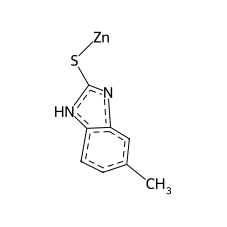 Cc1ccc2[nH]c([S][Zn])nc2c1